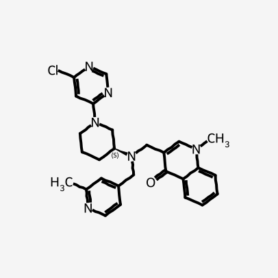 Cc1cc(CN(Cc2cn(C)c3ccccc3c2=O)[C@H]2CCCN(c3cc(Cl)ncn3)C2)ccn1